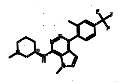 Cc1cc(C(F)(F)F)ccc1-c1nnc(N[C@@H]2CCCN(C)C2)c2c1ccn2C